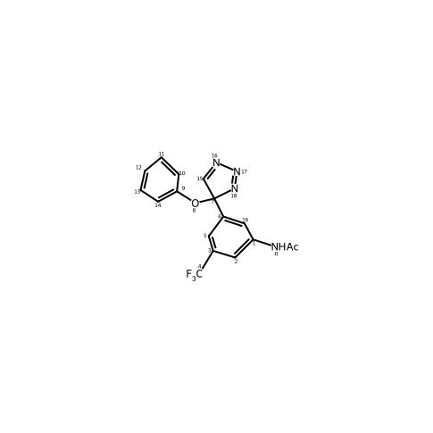 CC(=O)Nc1cc(C(F)(F)F)cc(C2(Oc3[c]cccc3)C=NN=N2)c1